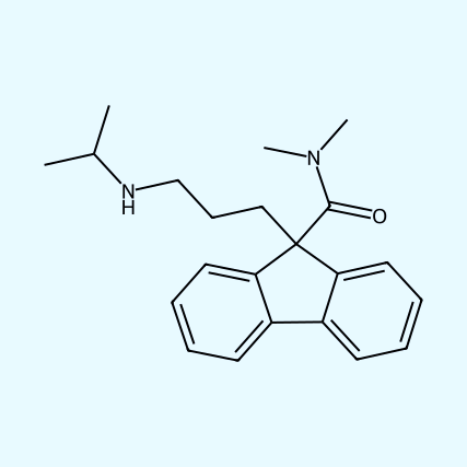 CC(C)NCCCC1(C(=O)N(C)C)c2ccccc2-c2ccccc21